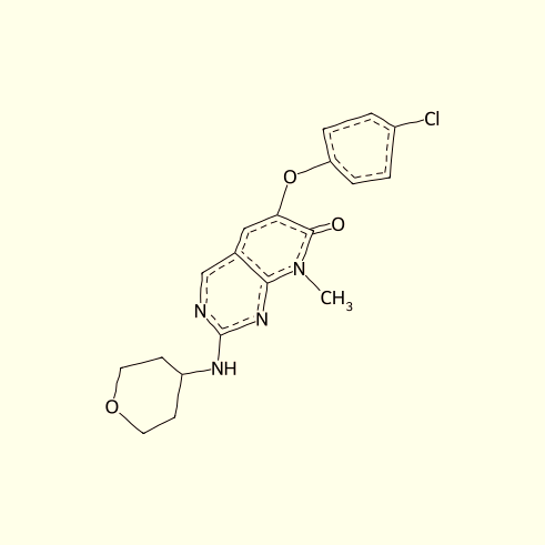 Cn1c(=O)c(Oc2ccc(Cl)cc2)cc2cnc(NC3CCOCC3)nc21